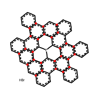 Br.c1ccc(-c2c(P(c3c(-c4ccccc4)c(-c4ccccc4)c4ccccc4c3-c3ccccc3)c3c(-c4ccccc4)c(-c4ccccc4)c4ccccc4c3-c3ccccc3)c(-c3ccccc3)c3ccccc3c2-c2ccccc2)cc1